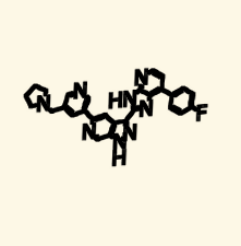 Fc1ccc(-c2ccnc3[nH]c(-c4n[nH]c5cnc(-c6cncc(CN7CCCC7)c6)cc45)nc23)cc1